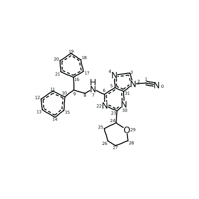 N#Cn1cnc2c(NCC(c3ccccc3)c3ccccc3)nc(C3CCCCO3)nc21